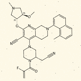 C=C(F)C(=O)N1CCN(c2c(C#N)c(O[C@@H]3CN(C)C[C@H]3OC)nc3c2CCN(c2cccc4cccc(C)c24)C3)CC1CC#N